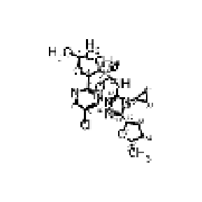 CC(C)OC(c1ncc(Cl)cn1)C(C)S(=O)(=O)Nc1nnc([C@H]2CC[C@@H](C)O2)n1C1CC1